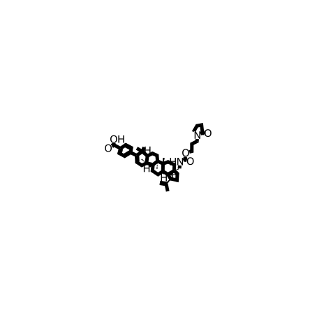 C=C(C)[C@@H]1CC[C@]2(CNC(=O)OCCCN3CCCC3=O)CC[C@]3(C)[C@H](CC[C@@H]4[C@@]5(C)CC=C(c6ccc(C(=O)O)cc6)C(C)(C)[C@@H]5CC[C@]43C)[C@@H]12